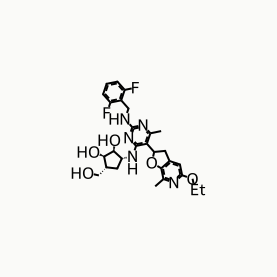 CCOc1cc2c(c(C)n1)OC(c1c(C)nc(NCc3c(F)cccc3F)nc1N[C@@H]1C[C@H](CO)[C@@H](O)[C@H]1O)C2